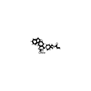 C=CC(=O)N1CC2(CCN(c3nc(OC)nc4c3CCC3(CCc5ccccc53)C4)CC2)C1